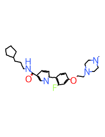 CN1CCN(CCOc2ccc(-c3ccc(C(=O)NCCCC4CCCC4)cn3)c(F)c2)CC1